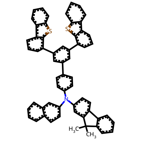 CC1(C)c2ccccc2-c2ccc(N(c3ccc(-c4cc(-c5cccc6c5sc5ccccc56)cc(-c5cccc6c5sc5ccccc56)c4)cc3)c3ccc4ccccc4c3)cc21